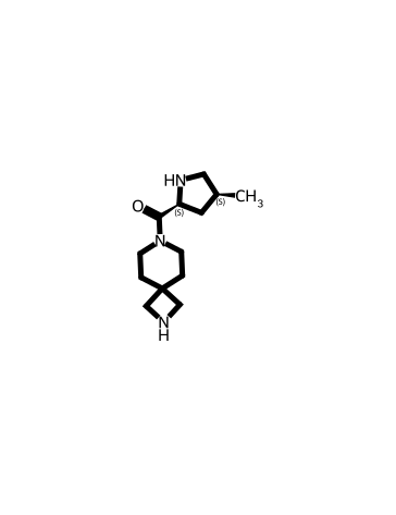 C[C@@H]1CN[C@H](C(=O)N2CCC3(CC2)CNC3)C1